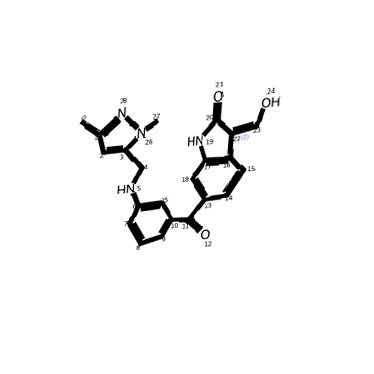 Cc1cc(CNc2cccc(C(=O)c3ccc4c(c3)NC(=O)/C4=C\O)c2)n(C)n1